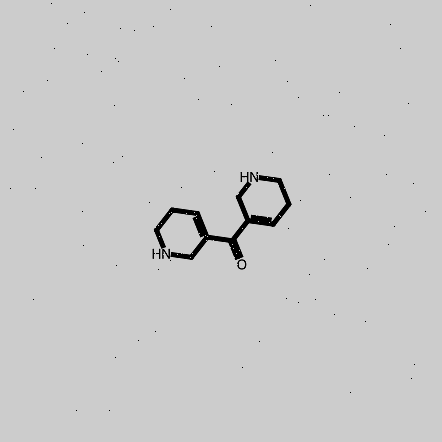 O=C(C1=CCCNC1)C1=CCCNC1